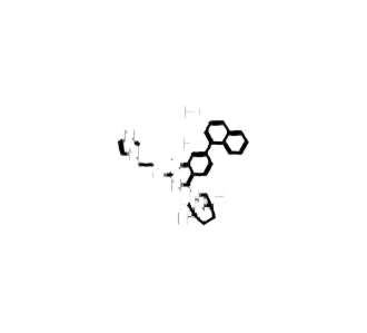 Oc1cc(-c2ccc3c(N4C[C@H]5CC[C@@H](C4)N5)nc(OCCn4ccnc4)nc3c2F)c2ccccc2c1